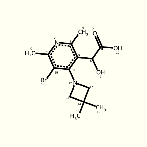 Cc1nc(C)c(C(O)C(=O)O)c(N2CC(C)(C)C2)c1Br